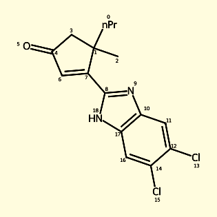 CCCC1(C)CC(=O)C=C1c1nc2cc(Cl)c(Cl)cc2[nH]1